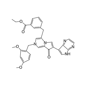 CCOC(=O)c1cccc(Cc2cn(Cc3ccc(OC)cc3OC)cc3c(=O)c(-c4c[nH]c5nccnc45)cn2-3)c1